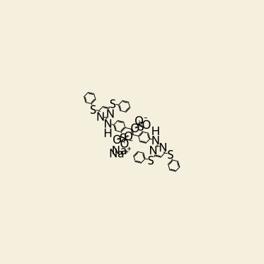 O=S(=O)([O-])c1cc(Nc2nc(Sc3ccccc3)cc(Sc3ccccc3)n2)ccc1C=Cc1ccc(Nc2nc(Sc3ccccc3)cc(Sc3ccccc3)n2)cc1S(=O)(=O)[O-].[Na+].[Na+]